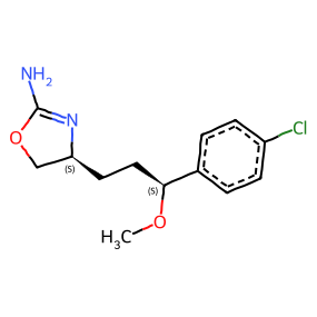 CO[C@@H](CC[C@H]1COC(N)=N1)c1ccc(Cl)cc1